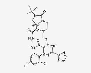 COC(=O)C1=C(CCN2CCN3C(=O)N(C(C)(C)C)C[C@H]3[C@@H]2C(N)=O)NC(c2nccs2)=N[C@H]1c1ccc(F)cc1Cl